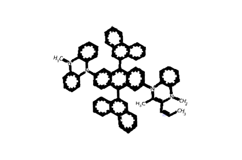 C/C=C\C1=C(C)N(c2ccc3c(-c4cc5ccccc5c5ccccc45)c4cc(N5c6ccccc6N(C)c6ccccc65)ccc4c(-c4cc5ccccc5c5ccccc45)c3c2)c2ccccc2N1C